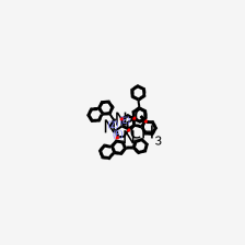 CC1C/C=C(c2ccc3oc4ccccc4c3c2-n2c3ccccc3c3cc4ccccc4cc32)/N=C(c2cccc3ccccc23)\N=C/1c1cccc(-c2ccccc2)c1